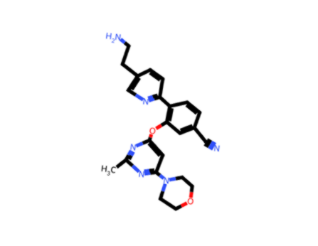 Cc1nc(Oc2cc(C#N)ccc2-c2ccc(CCN)cn2)cc(N2CCOCC2)n1